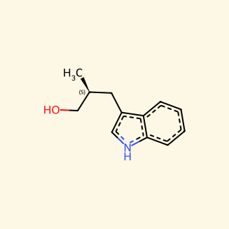 C[C@H](CO)Cc1c[nH]c2ccccc12